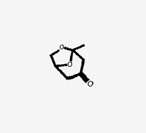 CC12CC(=O)CC(CO1)O2